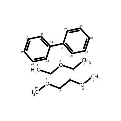 CCOCC.COCCOC.c1ccc(-c2ccccc2)cc1